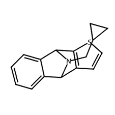 c1ccc2c(c1)C1c3ccsc3C2N1CC1CC1